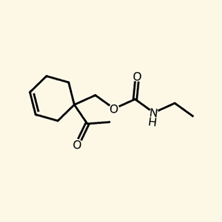 CCNC(=O)OCC1(C(C)=O)CC=CCC1